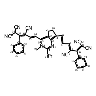 CC(C)/C(=N/C1=C(/C=C/C=C(\C#N)C(=C(C#N)C#N)c2ccccc2)CC\C1=C/C=C/C(C#N)=C(\c1ccccc1)C(C#N)C#N)N(C)C